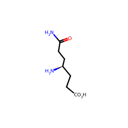 NC(=O)CC[C@H](N)CCC(=O)O